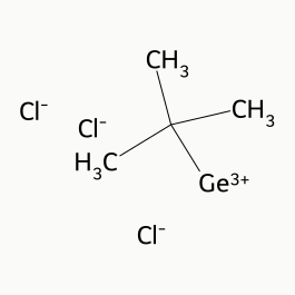 C[C](C)(C)[Ge+3].[Cl-].[Cl-].[Cl-]